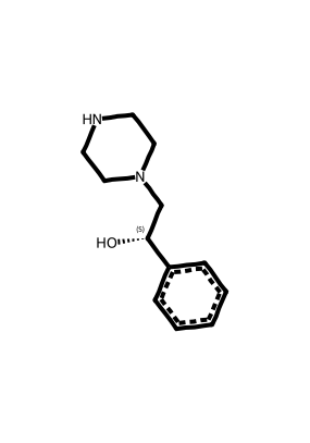 O[C@H](CN1CCNCC1)c1ccccc1